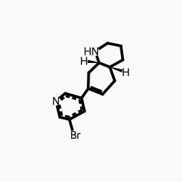 Brc1cncc(C2=CC[C@H]3CCCN[C@H]3C2)c1